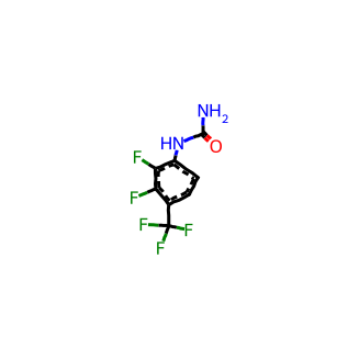 NC(=O)Nc1ccc(C(F)(F)F)c(F)c1F